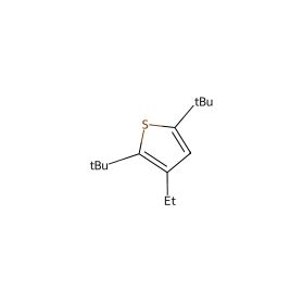 CCc1cc(C(C)(C)C)sc1C(C)(C)C